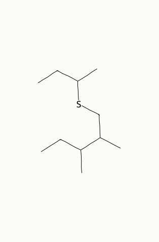 CCC(C)SCC(C)C(C)CC